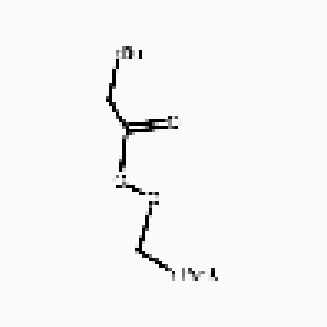 CCCCCCOOC(=O)CC(C)(C)C